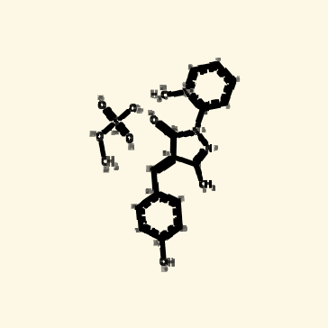 CC1=NN(c2cccc[n+]2C)C(=O)/C1=C/c1ccc(O)cc1.COS(=O)(=O)[O-]